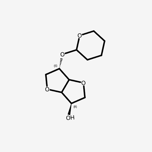 O[C@@H]1COC2C1OC[C@@H]2OC1CCCCO1